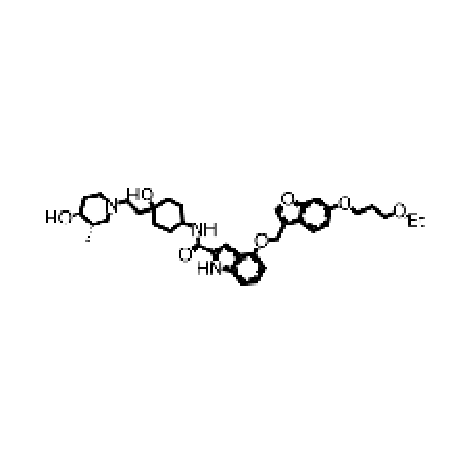 CCOCCCOc1ccc2c(COc3cccc4[nH]c(C(=O)NC5CCC(O)(CCN6CC[C@H](O)[C@@H](C)C6)CC5)cc34)coc2c1